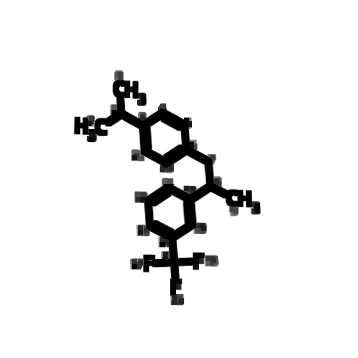 CC(C)c1ccc(CC(C)c2cccc(C(F)(F)F)c2)cc1